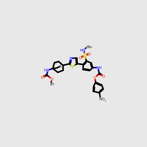 CC(C)OC(=O)NC12CCC(c3ncc(-c4ccc(NC(=O)Oc5ccc([N+](=O)[O-])cc5)cc4S(=O)(=O)NC(C)(C)C)s3)(CC1)CC2